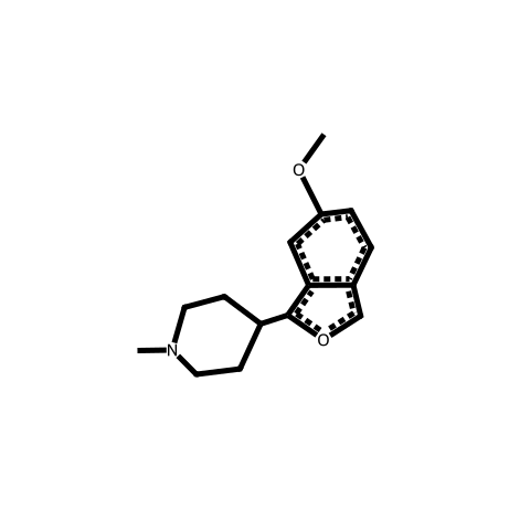 COc1ccc2coc(C3CCN(C)CC3)c2c1